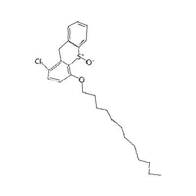 CCCCCCCCCCCCOc1ccc(Cl)c2c1[S+]([O-])c1ccccc1C2